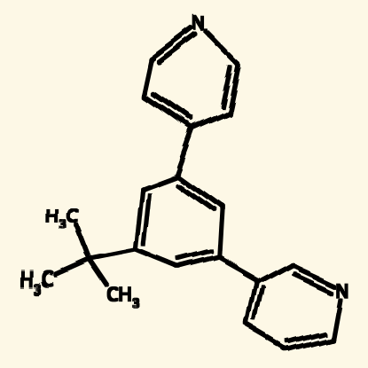 CC(C)(C)c1cc(-c2ccncc2)cc(-c2cccnc2)c1